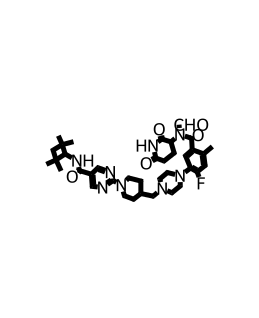 Cc1cc(F)c(N2CCN(CC3CCN(c4ncc(C(=O)NC5C(C)(C)CC5(C)C)cn4)CC3)CC2)cc1C(=O)N(C=O)C1CCC(=O)NC1=O